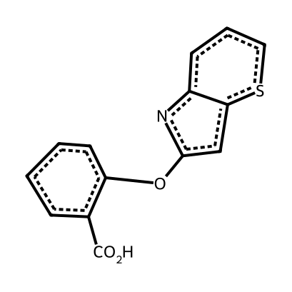 O=C(O)c1ccccc1Oc1cc2scccc-2n1